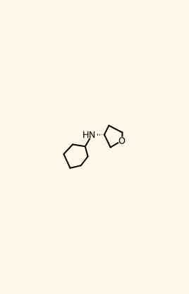 C1CCC(N[C@@H]2CCOC2)CC1